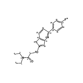 CCN(CC)C(=O)COc1cc2nc(-c3ccc(F)cc3)ccc2s1